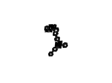 c1ccc(-c2ccc(-c3nc(-c4ccccc4)nc(-c4ccc(-c5ccc6c(ccc7oc8nc9cccnc9nc8c76)c5)cc4)n3)cc2)cc1